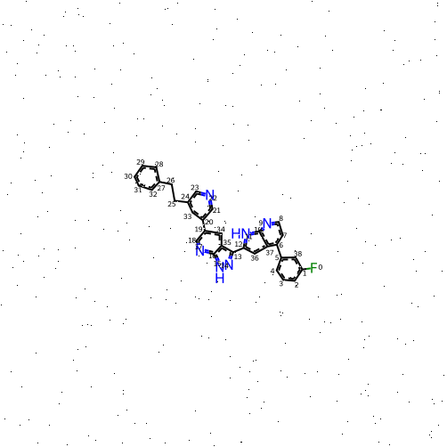 Fc1cccc(-c2ccnc3[nH]c(-c4n[nH]c5ncc(-c6cncc(CCc7ccccc7)c6)cc45)cc23)c1